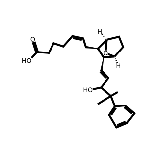 CC(C)(c1ccccc1)C(O)/C=C/[C@H]1[C@@H](C/C=C\CCCC(=O)O)[C@H]2CC[C@@H]1O2